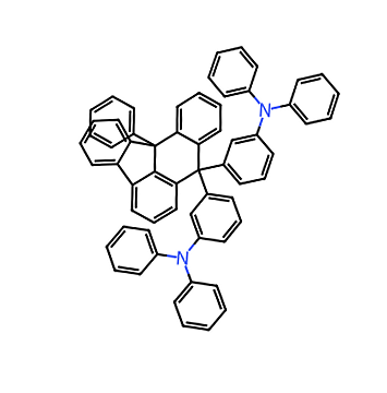 c1ccc(N(c2ccccc2)c2cccc(C3(c4cccc(N(c5ccccc5)c5ccccc5)c4)c4ccccc4C4(c5ccccc5)c5ccccc5-c5cccc3c54)c2)cc1